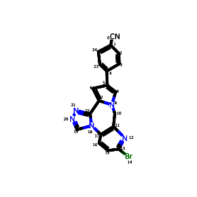 N#Cc1ccc(-c2cc3n(c2)Cc2nc(Br)ccc2-n2cnnc2-3)cc1